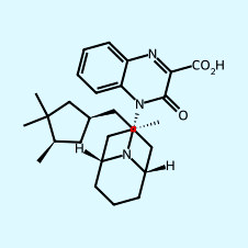 C[C@@H]1C[C@H](C[C@H](C)N2[C@@H]3CCC[C@H]2C[C@@H](n2c(=O)c(C(=O)O)nc4ccccc42)C3)CC1(C)C